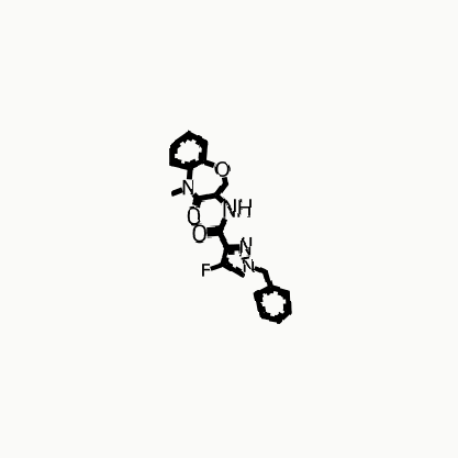 CN1C(=O)C(NC(=O)c2nn(Cc3ccccc3)cc2F)COc2ccccc21